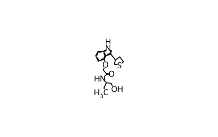 CCC(CO)NC(=O)COc1cccc2[nH]cc(C3CCSC3)c12